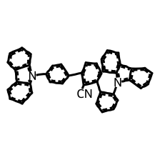 N#Cc1c(-c2ccc(-n3c4ccccc4c4ccccc43)cc2)cccc1-c1ccccc1-n1c2ccccc2c2ccccc21